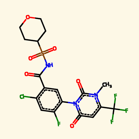 Cn1c(C(F)(F)F)cc(=O)n(-c2cc(C(=O)NS(=O)(=O)C3CCOCC3)c(Cl)cc2F)c1=O